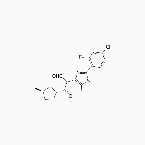 Cc1sc(-c2ccc(Cl)cc2F)nc1C(C=O)C(=O)[C@@H]1CC[C@@H](C)C1